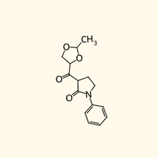 CC1OCC(C(=O)C2CCN(c3ccccc3)C2=O)O1